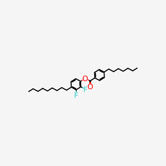 CCCCCCCCCc1ccc(OC(=O)c2ccc(CCCCCCC)cc2)c(F)c1F